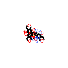 COc1cc(CC(C)(N)C(C)(c2cc(OC)c3c(c2OC)COCC3)C(C)(N)C(C)(N)C(OC)c2cc(OC)c3c(c2OC)COCC3)c(F)c2c1CCOC2